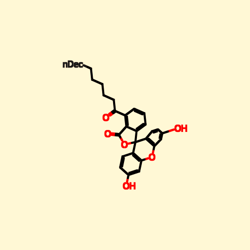 CCCCCCCCCCCCCCCC(=O)c1cccc2c1C(=O)OC21c2ccc(O)cc2Oc2cc(O)ccc21